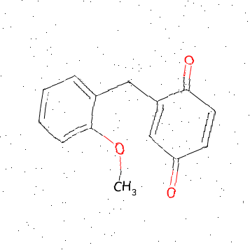 COc1ccccc1CC1=CC(=O)C=CC1=O